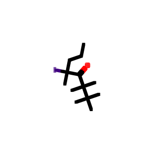 CCCC(C)(I)C(=O)C(C)(C)C(C)(C)C